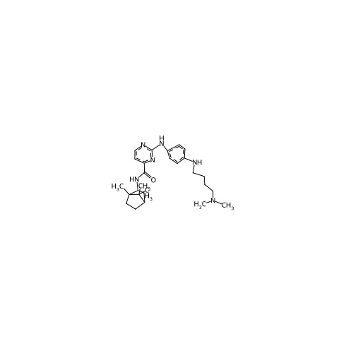 CN(C)CCCCNc1ccc(Nc2nccc(C(=O)NC3CC4CCC3(C)C4(C)C)n2)cc1